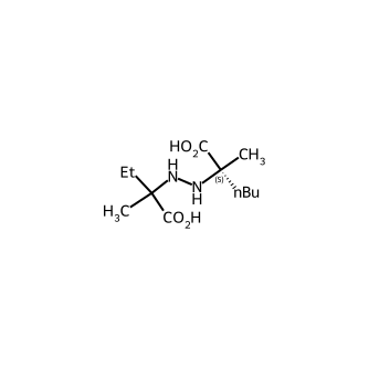 CCCC[C@](C)(NNC(C)(CC)C(=O)O)C(=O)O